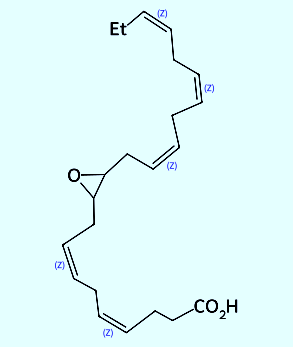 CC/C=C\C/C=C\C/C=C\CC1OC1C/C=C\C/C=C\CCC(=O)O